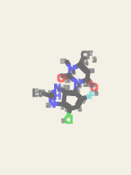 CCc1nc2c(Cl)cc(F)c(-n3c(=O)cc(C(F)(F)F)n(C)c3=O)c2[nH]1